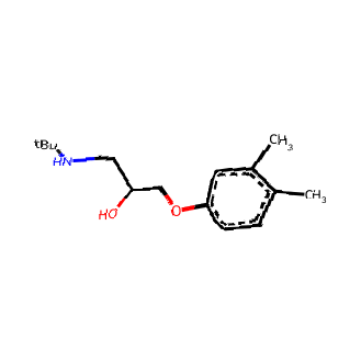 Cc1ccc(OCC(O)CNC(C)(C)C)cc1C